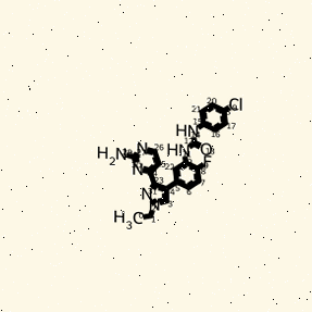 CCn1cc(-c2ccc(F)c(NC(=O)Nc3ccc(Cl)cc3)c2)c(-c2ccnc(N)n2)n1